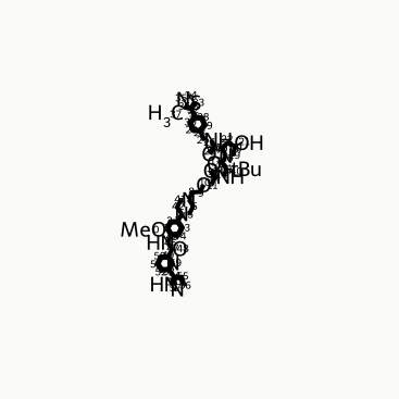 COc1cc(N2CCN(CCOCC(=O)N[C@H](C(=O)N3C[C@H](O)C[C@H]3C(=O)NCc3ccc(-c4scnc4C)cc3)C(C)(C)C)CC2)ccc1NC(=O)c1cccc(-c2ccn[nH]2)n1